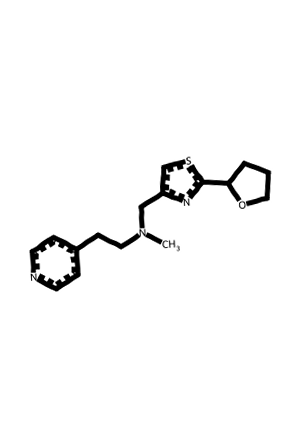 CN(CCc1ccncc1)Cc1csc(C2CCCO2)n1